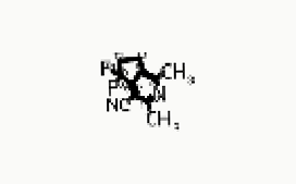 Cc1nc(C)c2c(c1C#N)C(F)(F)CC2